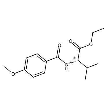 CCOC(=O)[C@@H](NC(=O)c1ccc(OC)cc1)C(C)C